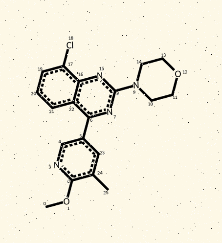 COc1ncc(-c2nc(N3CCOCC3)nc3c(Cl)cccc23)cc1C